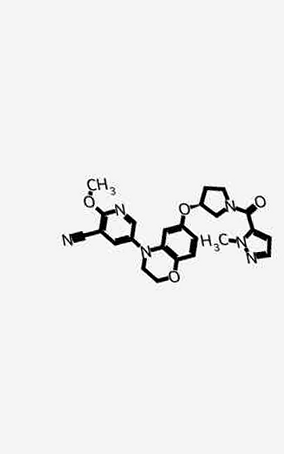 COc1ncc(N2CCOc3ccc(O[C@H]4CCN(C(=O)c5ccnn5C)C4)cc32)cc1C#N